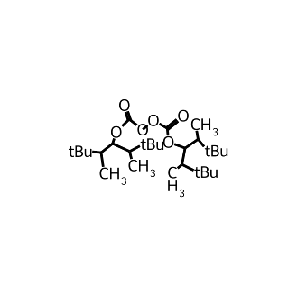 CC(C(OC(=O)OOC(=O)OC(C(C)C(C)(C)C)C(C)C(C)(C)C)C(C)C(C)(C)C)C(C)(C)C